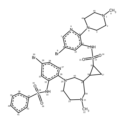 CN1CCN(c2ncc(Br)cc2NS(=O)(=O)C2CC2C2CN(C)CCN(c3ncc(Br)cc3NS(=O)(=O)c3ccccc3)C2)CC1